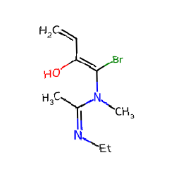 C=C/C(O)=C(\Br)N(C)/C(C)=N\CC